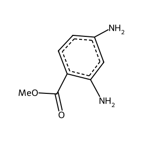 COC(=O)c1ccc(N)cc1N